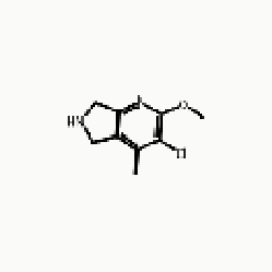 COc1nc2c(c(C)c1Cl)CNC2